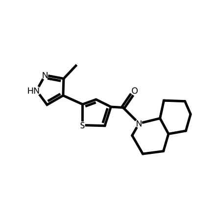 Cc1n[nH]cc1-c1cc(C(=O)N2CCCC3CCCCC32)cs1